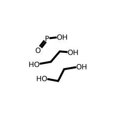 O=PO.OCCO.OCCO